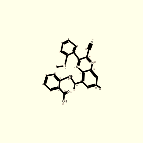 COc1ccccc1-c1nc2c([C@@H](C)Nc3ccccc3C(=O)O)cc(C)cc2nc1C#N